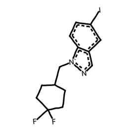 FC1(F)CCC(Cn2ncc3cc(I)ccc32)CC1